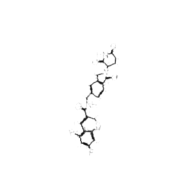 O=C1CCC(N2Cc3cc(CNC(=O)C4=Cc5c(F)cc(F)cc5OC4)ccc3C2=O)C(=O)N1